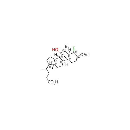 CC[C@H]1[C@@H](O)[C@@H]2[C@H](CC[C@]3(C)[C@@H](C(C)CCC(=O)O)CC[C@@H]23)[C@@]2(C)CC[C@@H](OC(C)=O)[C@H](F)[C@@H]12